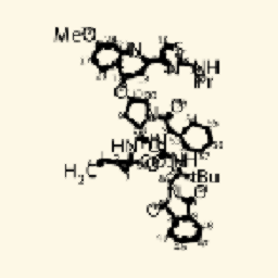 C=CC1C[C@]1(NC(=O)[C@@H]1C[C@@H](Oc2cc(-c3csc(NC(C)C)n3)nc3cc(OC)ccc23)CN1C(=O)[C@@H](NC(=O)NC(CN1C(=O)c2ccccc2C1=O)C(C)(C)C)C1CCCCC1)C(=O)O